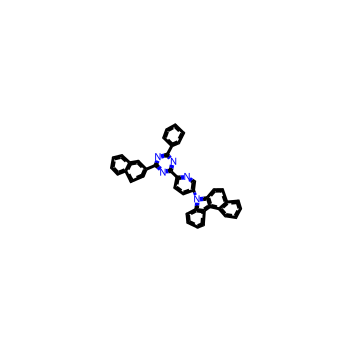 c1ccc(-c2nc(-c3ccc4ccccc4c3)nc(-c3ccc(-n4c5ccccc5c5c6ccccc6ccc54)cn3)n2)cc1